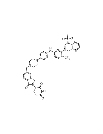 CN(c1nccnc1CNc1nc(Nc2ccc(N3CCN(Cc4ccc5c(c4)CN(C4CCC(=O)NC4=O)C5=O)CC3)cc2)ncc1C(F)(F)F)S(C)(=O)=O